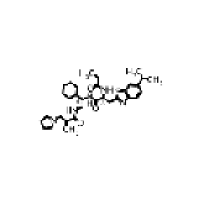 C=C(CN1CCCC1)C(=O)NC[C@@H](NC(=O)[C@H](Cc1nc2ccc(C(C)C)cc2s1)NC(=O)CC)C1CCCCC1